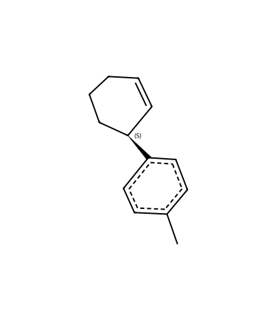 Cc1ccc([C@@H]2C=CCCC2)cc1